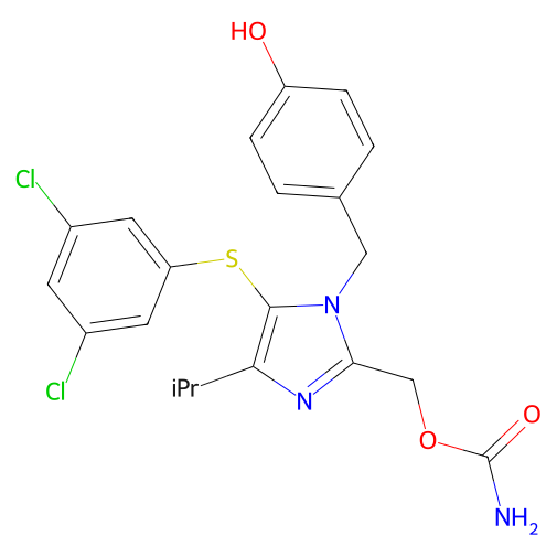 CC(C)c1nc(COC(N)=O)n(Cc2ccc(O)cc2)c1Sc1cc(Cl)cc(Cl)c1